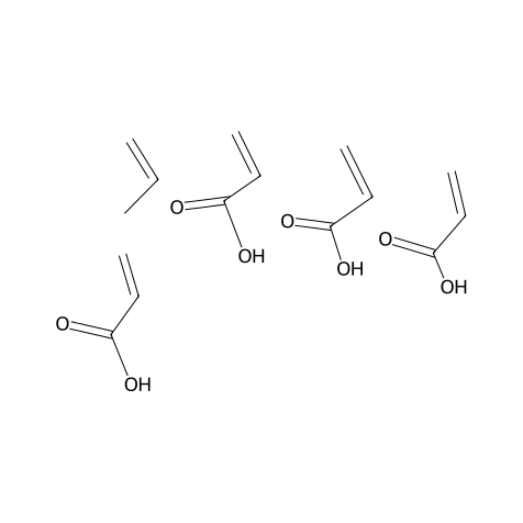 C=CC.C=CC(=O)O.C=CC(=O)O.C=CC(=O)O.C=CC(=O)O